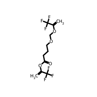 C=C(OCOCCCC(=O)OC(=C)C(F)(F)F)C(F)(F)F